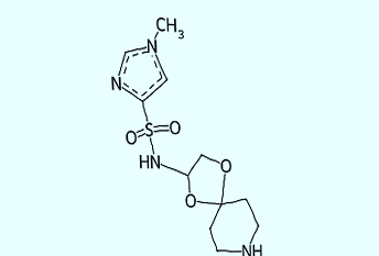 Cn1cnc(S(=O)(=O)NC2COC3(CCNCC3)O2)c1